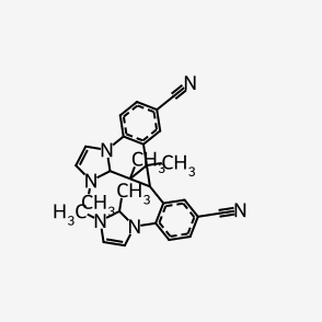 CC1N(C)C=CN1c1ccc(C#N)cc1C1C2(C)c3cc(C#N)ccc3N3C=CN(C)C3C12C